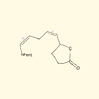 CCCCC/C=C\C/C=C\C1CCC(=O)O1